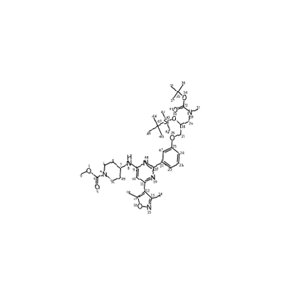 COC(=O)N1CCC(Nc2cc(-c3c(C)noc3C)nc(-c3cccc(OCC(CN(C)C(=O)OC(C)(C)C)O[Si](C)(C)C(C)(C)C)c3)n2)CC1